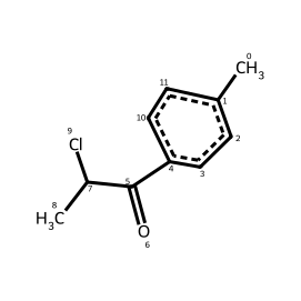 Cc1ccc(C(=O)C(C)Cl)cc1